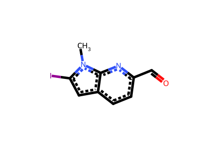 Cn1c(I)cc2ccc(C=O)nc21